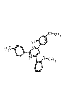 COc1ccc(-c2nc(-c3ccc(C)cc3)nc(-c3ccccc3OC)n2)c(O)c1